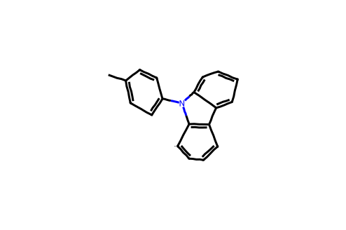 Cc1ccc(-n2c3[c]cccc3c3ccccc32)cc1